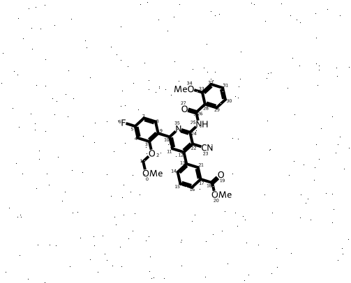 COCOc1cc(F)ccc1-c1cc(-c2cccc(C(=O)OC)c2)c(C#N)c(NC(=O)c2ccccc2OC)n1